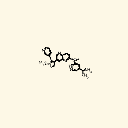 CC(C)c1cnnc(Nc2ccc3ncc(-c4cnn(C)c4-c4cccnc4)cc3n2)c1